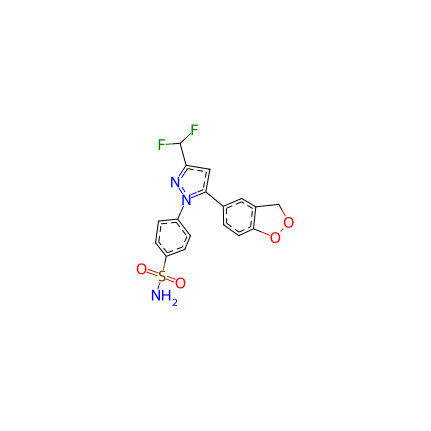 NS(=O)(=O)c1ccc(-n2nc(C(F)F)cc2-c2ccc3c(c2)COO3)cc1